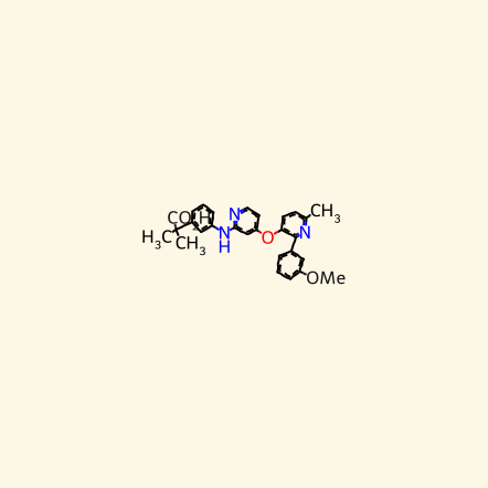 COc1cccc(-c2nc(C)ccc2Oc2ccnc(Nc3cccc(C(C)(C)C(=O)O)c3)c2)c1